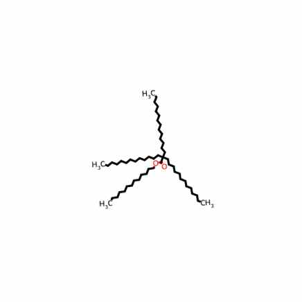 CCCCCCCCCCCCCCC(CCCCCCCCCCCCC)(CCCCCCCCCCCCC)C(=O)OCCCCCCCCCCCCC